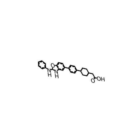 O=C(O)CC1CCC(c2ccc(-c3ccc4c(c3)NC(Nc3ccccc3)O4)cc2)CC1